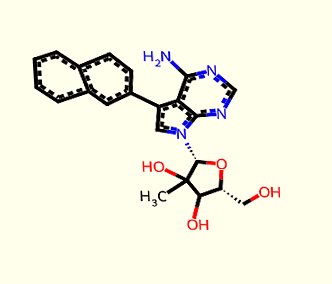 CC1(O)C(O)[C@@H](CO)O[C@H]1n1cc(-c2ccc3ccccc3c2)c2c(N)ncnc21